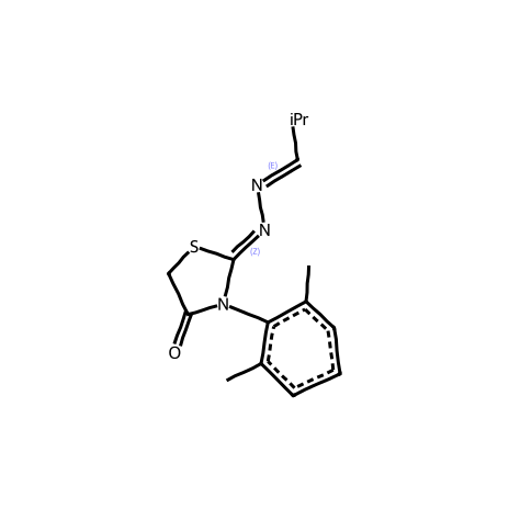 Cc1cccc(C)c1N1C(=O)CS/C1=N\N=C\C(C)C